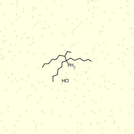 CCCCCCC(CC)C(P)(CCCCCC)CCCCCC.Cl